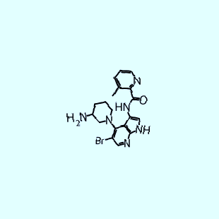 Cc1cccnc1C(=O)Nc1c[nH]c2ncc(Br)c(N3CCCC(N)C3)c12